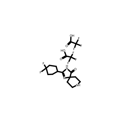 O=C(O)C(F)(F)F.O=C(O)C(F)(F)F.O=C1NC(C2CCC(F)(F)CC2)=NC12CCNCC2